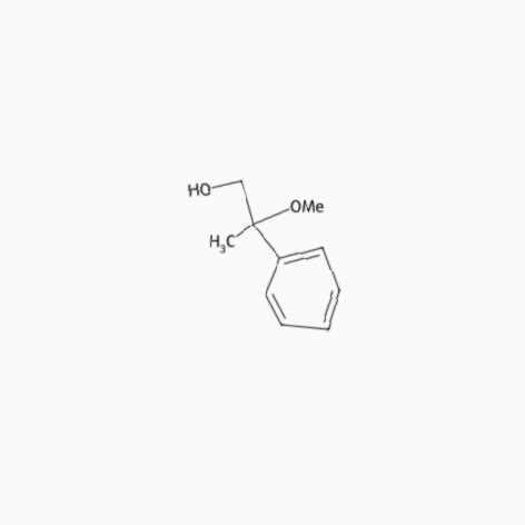 COC(C)(CO)c1ccccc1